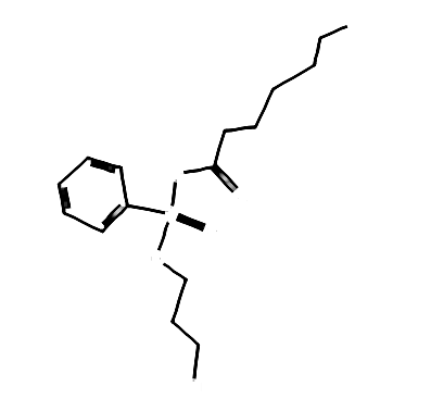 O=C(CCCCCO)OP(=O)(OCCCO)c1ccccc1